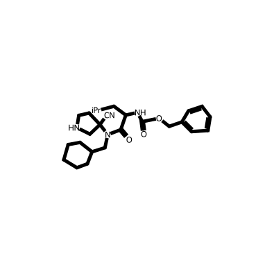 CC(C)CC(NC(=O)OCc1ccccc1)C(=O)N(CC1CCCCC1)C1(C#N)CCNC1